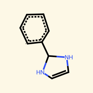 [c]1ccccc1C1NC=CN1